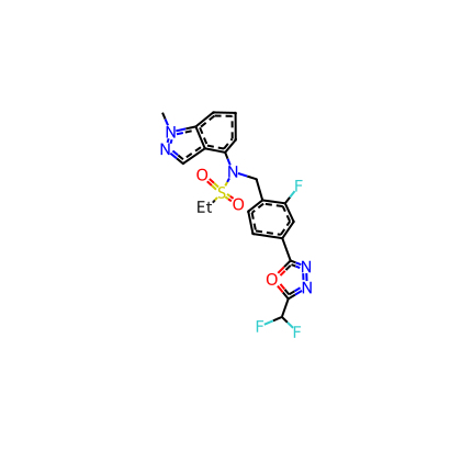 CCS(=O)(=O)N(Cc1ccc(-c2nnc(C(F)F)o2)cc1F)c1cccc2c1cnn2C